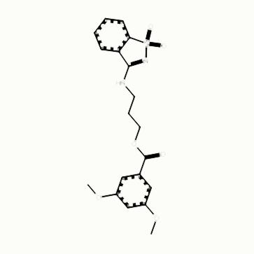 COc1cc(OC)cc(C(=O)OCCCNC2=NS(=O)(=O)c3ccccc32)c1